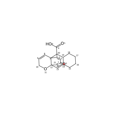 O=C1C=C(C(=O)O)C23C=CCOC2(C=C2CCCCC2C3)S1